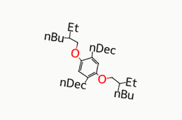 CCCCCCCCCCc1cc(OCC(CC)CCCC)c(CCCCCCCCCC)cc1OCC(CC)CCCC